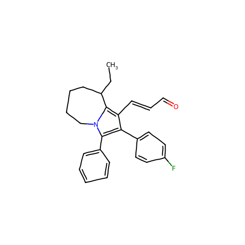 CCC1CCCCn2c(-c3ccccc3)c(-c3ccc(F)cc3)c(/C=C/C=O)c21